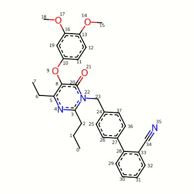 CCCc1nc(CC)c(Oc2ccc(OC)c(OC)c2)c(=O)n1Cc1ccc(-c2ccccc2C#N)cc1